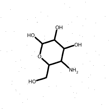 NC1C(CO)OC(O)C(O)C1O